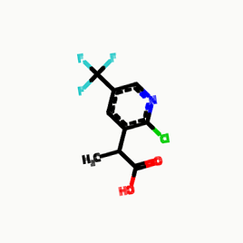 CC(C(=O)O)c1cc(C(F)(F)F)cnc1Cl